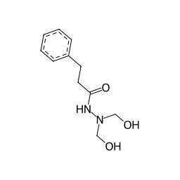 O=C(CCc1ccccc1)NN(CO)CO